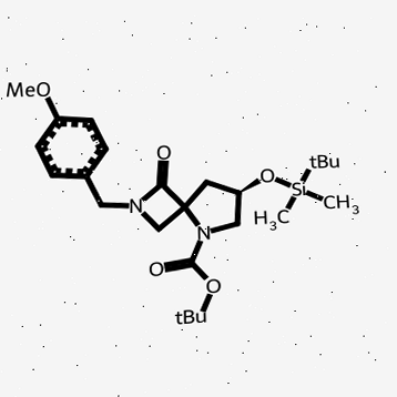 COc1ccc(CN2CC3(C[C@@H](O[Si](C)(C)C(C)(C)C)CN3C(=O)OC(C)(C)C)C2=O)cc1